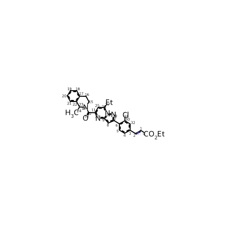 CCOC(=O)/C=C/c1ccc(-c2cc3nc(C(=O)N4CCc5ccccc5C4C)cc(CC)n3n2)c(Cl)c1